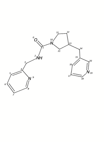 O=C(NCc1ccccn1)N1CCC(Cc2cccnc2)C1